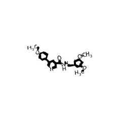 CCOc1ccc(-c2cncc(C(=O)NN=Cc3cc(OC)cc(OC)c3)c2)cc1